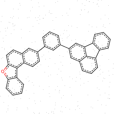 c1cc(-c2cc3c4c(cccc4c2)-c2ccccc2-3)cc(-c2ccc3c(ccc4oc5ccccc5c43)c2)c1